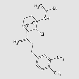 C=C(CC)NC12CCC(CC1Cl)N(C(=C)CCc1ccc(C)c(C)c1)C2